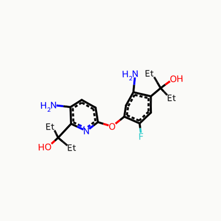 CCC(O)(CC)c1cc(F)c(Oc2ccc(N)c(C(O)(CC)CC)n2)cc1N